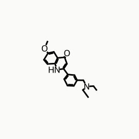 CCN(CC)Cc1cccc(-c2cc(=O)c3cc(OC)ccc3[nH]2)c1